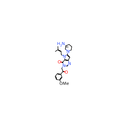 COc1cccc(C(=O)Cn2cnc3cc(N4CCC[C@@H](N)C4)n(CC=C(C)C)c3c2=O)c1